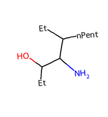 CCCCCC(CC)C(N)C(O)CC